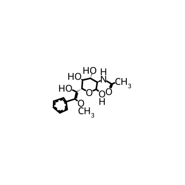 COC(=C(O)[C@H]1OC(O)[C@H](NC(C)=O)[C@@H](O)[C@H]1O)c1ccccc1